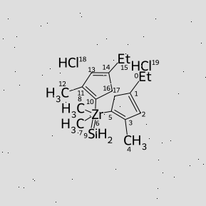 CCC1=CC(C)=[C]([Zr]([CH3])([CH3])(=[SiH2])[C]2=C(C)C=C(CC)C2)C1.Cl.Cl